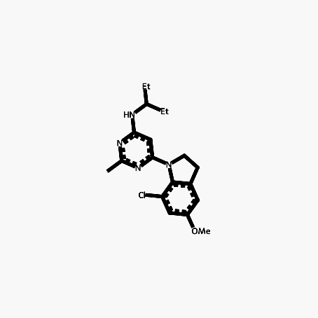 CCC(CC)Nc1cc(N2CCc3cc(OC)cc(Cl)c32)nc(C)n1